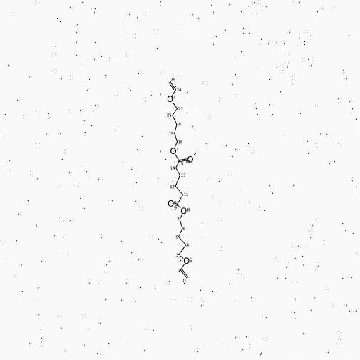 C=COCCCCCOC(=O)CCCCC(=O)OCCCCCOC=C